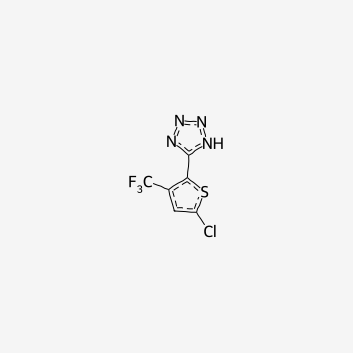 FC(F)(F)c1cc(Cl)sc1-c1nnn[nH]1